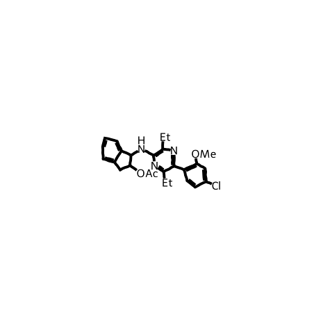 CCc1nc(-c2ccc(Cl)cc2OC)c(CC)nc1NC1c2ccccc2CC1OC(C)=O